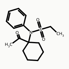 CCS(=O)(=O)N(c1ccccc1)C1(C(C)=O)CCCCC1